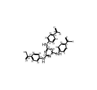 C=C(C)c1ccc(Nc2nc(Nc3ccc(C(=C)C)cc3)nc(Nc3ccc(C(=C)C)cc3)n2)cc1